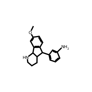 COc1ccc2c(c1)C1NCCCC1C2c1cccc(N)c1